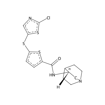 O=C(N[C@H]1CN2CCC1CC2)c1ccc(Sc2cnc(Cl)s2)s1